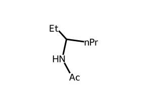 [CH2]C(=O)NC(CC)CCC